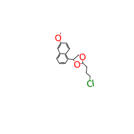 COc1ccc2c(C3COC(CCCCl)O3)cccc2c1